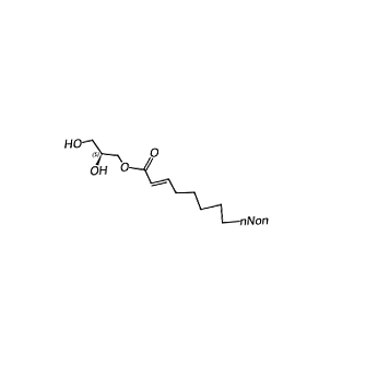 CCCCCCCCCCCCCCC=CC(=O)OC[C@@H](O)CO